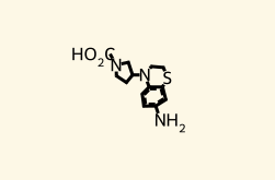 Nc1ccc2c(c1)SCCN2C1CCN(C(=O)O)C1